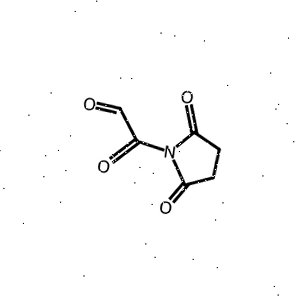 O=CC(=O)N1C(=O)CCC1=O